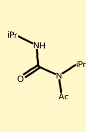 CC(=O)N(C(=O)NC(C)C)C(C)C